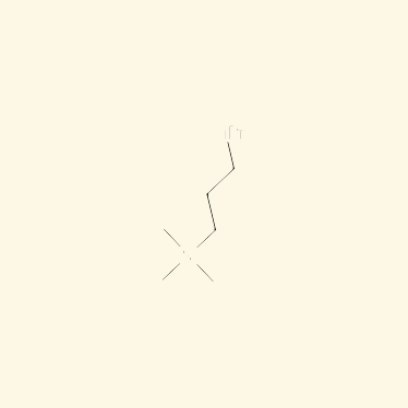 CC(C)CCC[Si](C)(C)C